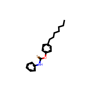 CCCCCCCc1ccc(OC(=S)Nc2ccccc2)cc1